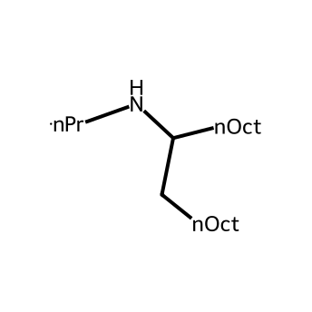 CC[CH]NC(CCCCCCCC)CCCCCCCCC